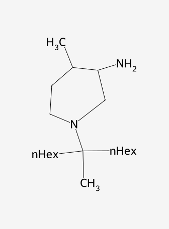 CCCCCCC(C)(CCCCCC)N1CCC(C)C(N)C1